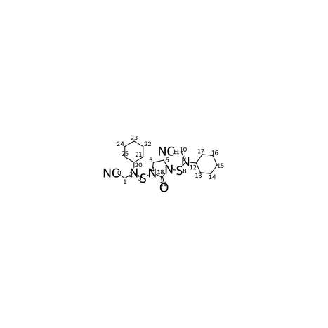 N#CCN(SN1CCN(SN(CC#N)C2CCCCC2)C1=O)C1CCCCC1